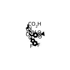 O=C(O)Cc1csc(NC(=O)C(OC2Cc3cc(F)cc(F)c3C2)c2ccc(S(=O)(=O)C3CC3)cc2)n1